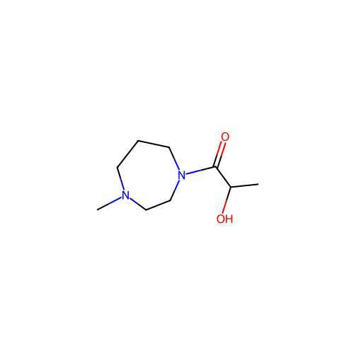 CC(O)C(=O)N1CCCN(C)CC1